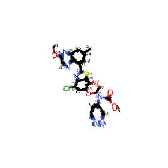 COC(=O)N(c1ccnnc1)[C@H]1COc2c(cc(Cl)c3nc(-c4cc(C)cc5nc(OC)cnc45)sc23)O1